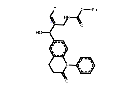 CC(C)(C)OC(=O)NC/C(=C\F)C(O)c1ccc2c(c1)CCC(=O)N2c1ccccc1